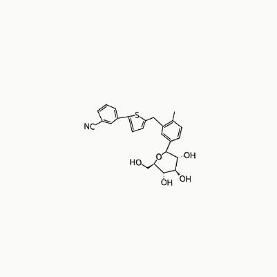 Cc1ccc(C2O[C@H](CO)[C@@H](O)[C@H](O)[C@H]2O)cc1Cc1ccc(-c2cccc(C#N)c2)s1